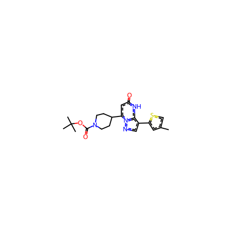 Cc1csc(-c2cnn3c(C4CCN(C(=O)OC(C)(C)C)CC4)cc(=O)[nH]c23)c1